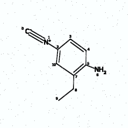 [C-]#[N+]c1ccc(N)c(CC)c1